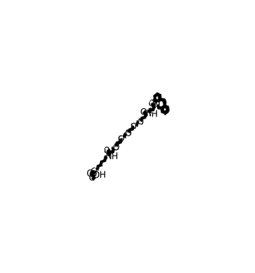 COP(=O)(O)OCCCCCCNC(=O)CCOCCOCCOCCOCCOCCC(=O)NCCC(=O)N1Cc2ccccc2C#Cc2ccccc21